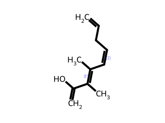 C=CC/C=C\C(C)=C(/C)C(=C)O